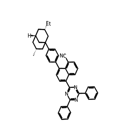 CC[C@H]1C[C@H]2C[C@@H](C)CC(c3ccc(-c4ccc(-c5nc(-c6ccccc6)nc(-c6ccccc6)n5)c5cccc(C#N)c45)cc3)(C2)C1